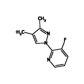 [CH2]c1cn(-c2ncccc2F)nc1C